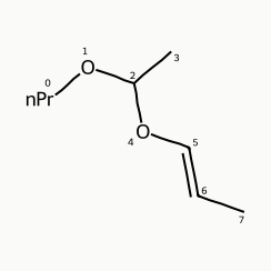 [CH2]CCOC(C)OC=CC